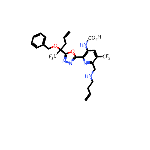 C=CCCNCc1nc(-c2nnc(C(CC=C)(OCc3ccccc3)C(F)(F)F)o2)c(NC(=O)O)cc1C(F)(F)F